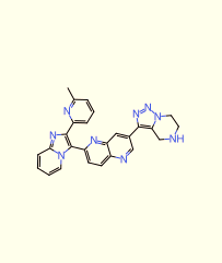 Cc1cccc(-c2nc3ccccn3c2-c2ccc3ncc(-c4nnn5c4CNCC5)cc3n2)n1